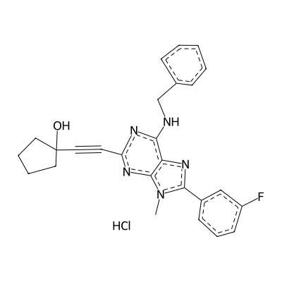 Cl.Cn1c(-c2cccc(F)c2)nc2c(NCc3ccccc3)nc(C#CC3(O)CCCC3)nc21